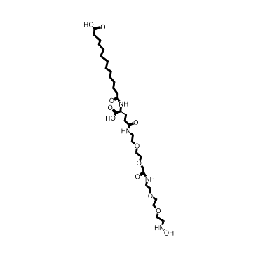 O=C(O)CCCCCCCCCCCCC(=O)N[C@@H](CCC(=O)NCCOCCOCC(=O)NCCOCCOCCNO)C(=O)O